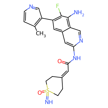 Cc1ccncc1-c1cc2cc(NC(=O)C=C3CCS(=N)(=O)CC3)ncc2c(N)c1F